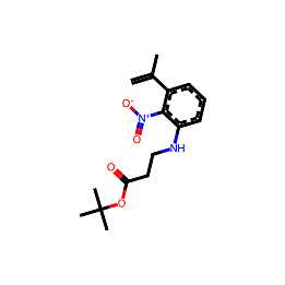 C=C(C)c1cccc(NCCC(=O)OC(C)(C)C)c1[N+](=O)[O-]